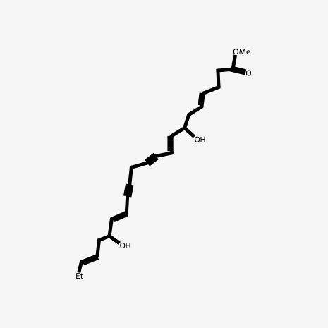 CC/C=C/CC(O)/C=C/C#CCC#C/C=C/C(O)C/C=C/CCC(=O)OC